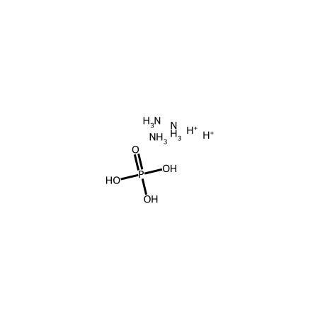 N.N.N.O=P(O)(O)O.[H+].[H+]